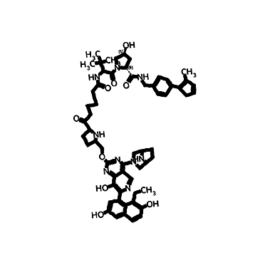 CCc1c(O)ccc2cc(O)cc(-c3ncc4c(N5CC6CCC(C5)N6)nc(OCC5CCC(C(=O)CCCCC(=O)NC(C(=O)N6C[C@@H](O)C[C@@H]6C(=O)NCc6ccc(C7=C(C)C=CC7)cc6)C(C)(C)C)N5)nc4c3O)c12